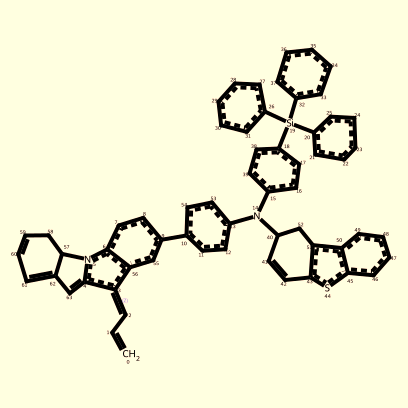 C=C/C=c1\c2n(c3ccc(-c4ccc(N(c5ccc([Si](c6ccccc6)(c6ccccc6)c6ccccc6)cc5)C5C=Cc6sc7ccccc7c6C5)cc4)cc13)C1CC=CC=C1C=2